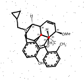 CO[C@]12C=C[C@@]3(C[C@]1(C)C(O)c1ccccc1C)[C@H]1Cc4ccc(O)c5c4[C@@]3(CCN1CC1CC1)[C@H]2O5